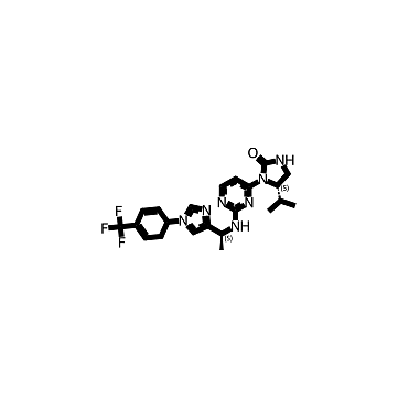 CC(C)[C@H]1CNC(=O)N1c1ccnc(N[C@@H](C)c2cn(C3C=CC(C(F)(F)F)=CC3)cn2)n1